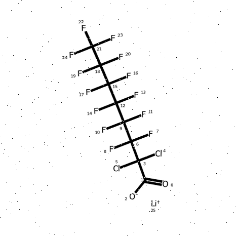 O=C([O-])C(Cl)(Cl)C(F)(F)C(F)(F)C(F)(F)C(F)(F)C(F)(F)C(F)(F)F.[Li+]